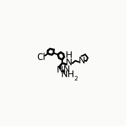 Nc1ncc(-c2cccc(-c3cccc(Cl)c3)c2)c(NCCCN2CCCC2)n1